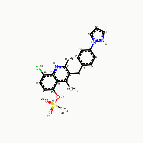 Cc1c(Cc2ccc(-n3cccn3)cc2)c(C(C)C)nc2c(Cl)ccc(OS(=O)(=O)C(F)(F)F)c12